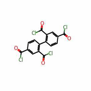 O=C(Cl)c1ccc(-c2ccc(C(=O)Cl)cc2C(=O)Cl)c(C(=O)Cl)c1